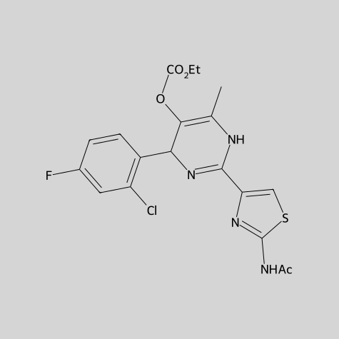 CCOC(=O)OC1=C(C)NC(c2csc(NC(C)=O)n2)=NC1c1ccc(F)cc1Cl